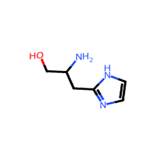 NC(CO)Cc1ncc[nH]1